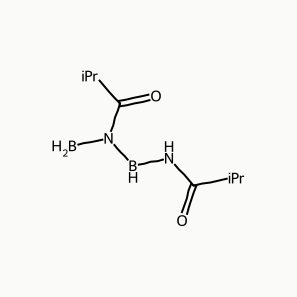 BN(BNC(=O)C(C)C)C(=O)C(C)C